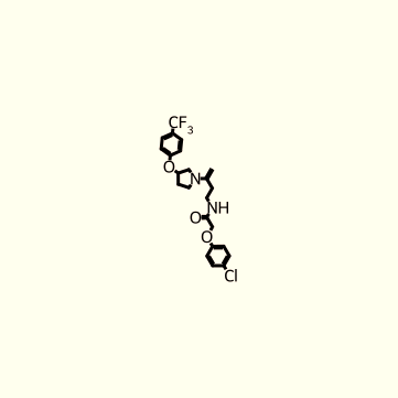 C=C(CCNC(=O)COc1ccc(Cl)cc1)N1CCC(Oc2ccc(C(F)(F)F)cc2)C1